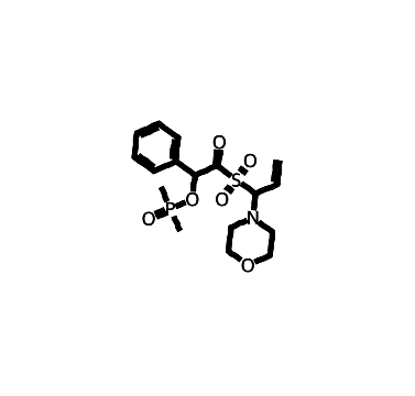 C=CC(N1CCOCC1)S(=O)(=O)C(=O)C(OP(C)(C)=O)c1ccccc1